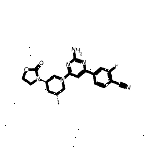 C[C@@H]1C[C@@H](N2CCOC2=O)CN(c2cc(-c3ccc(C#N)c(F)c3)nc(N)n2)C1